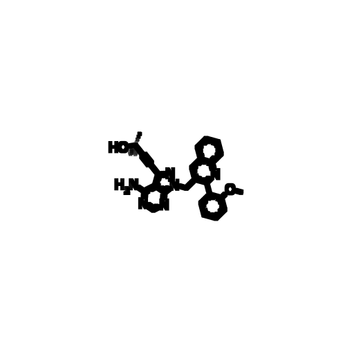 COc1ccccc1-c1nc2ccccc2cc1Cn1nc(C#C[C@@H](C)O)c2c(N)ncnc21